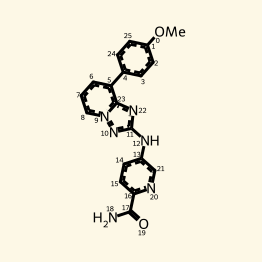 COc1ccc(-c2cccn3nc(Nc4ccc(C(N)=O)nc4)nc23)cc1